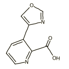 O=C(O)c1ncccc1-c1cocn1